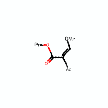 COC=C(C(C)=O)C(=O)OC(C)C